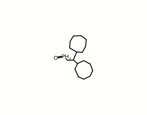 O=[PH2]CC(C1CCCCCCC1)C1CCCCCCC1